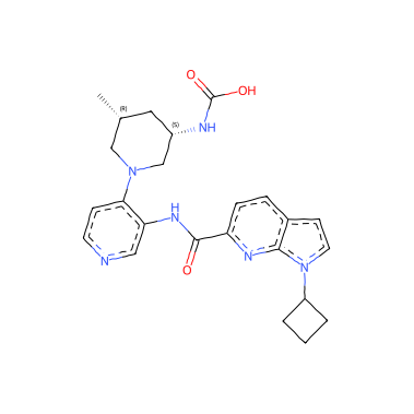 C[C@@H]1C[C@H](NC(=O)O)CN(c2ccncc2NC(=O)c2ccc3ccn(C4CCC4)c3n2)C1